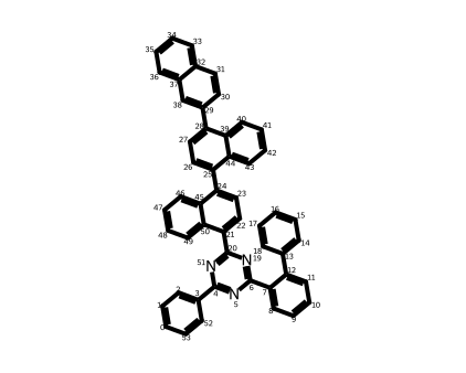 c1ccc(-c2nc(-c3ccccc3-c3ccccc3)nc(-c3ccc(-c4ccc(-c5ccc6ccccc6c5)c5ccccc45)c4ccccc34)n2)cc1